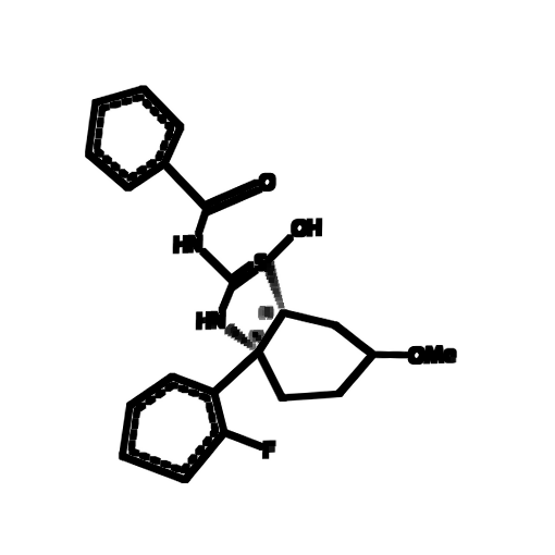 COC1CC[C@@](NC(=S)NC(=O)c2ccccc2)(c2ccccc2F)[C@H](CO)C1